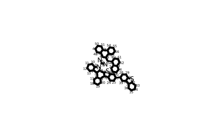 c1ccc2c(-c3nc(-n4c5ccccc5c5c6ccccc6c6c7ccc(-c8ccc9sc%10ccccc%10c9c8)cc7sc6c54)nc4c5ccccc5c5ccccc5c34)cccc2c1